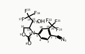 N#Cc1ccc(N2C(=O)OCC2[C@@H](O)C(F)(F)F)cc1C(F)(F)F